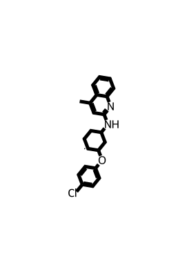 Cc1cc(NC2CC[CH]C(Oc3ccc(Cl)cc3)C2)nc2ccccc12